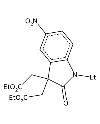 CCOC(=O)CC1(CC(=O)OCC)C(=O)N(CC)c2ccc([N+](=O)[O-])cc21